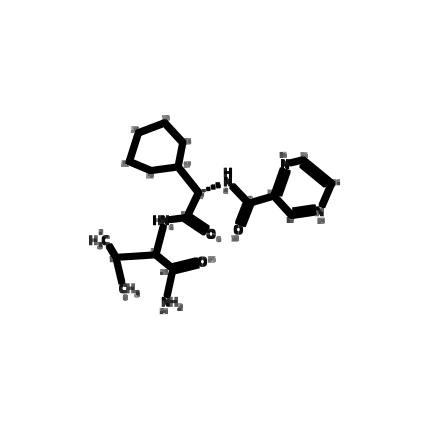 CC(C)C(NC(=O)[C@@H](NC(=O)c1cnccn1)C1CCCCC1)C(N)=O